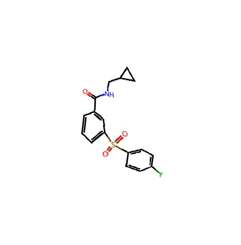 O=C(NCC1CC1)c1cccc(S(=O)(=O)c2ccc(F)cc2)c1